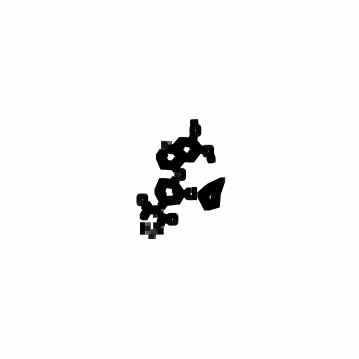 COc1cc2nccc(Oc3ccc(N(C(C)=O)C(N)=O)cc3Cl)c2cc1OC.c1cc2cc-2c1